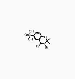 CCC1=C(CC)C(C)(C)Oc2ccc(P(=O)(O)O)cc21